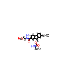 CSNC(=O)OCC1c2cc(C=O)ccc2-c2ccc(C(=O)NCCO)cc21